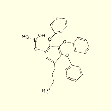 CCCCc1cc(OB(O)O)c(Oc2ccccc2)c(Oc2ccccc2)c1Oc1ccccc1